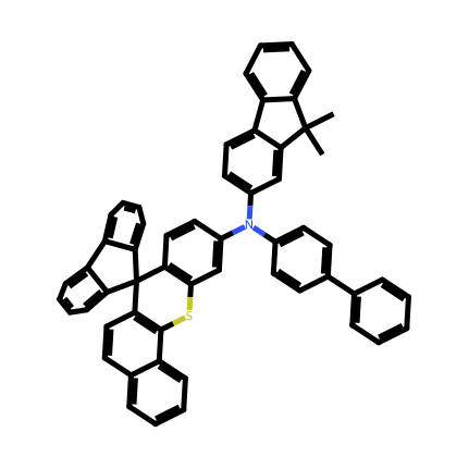 CC1(C)c2ccccc2-c2ccc(N(c3ccc(-c4ccccc4)cc3)c3ccc4c(c3)Sc3c(ccc5ccccc35)C43c4ccccc4-c4ccccc43)cc21